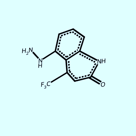 NNc1cccc2[nH]c(=O)cc(C(F)(F)F)c12